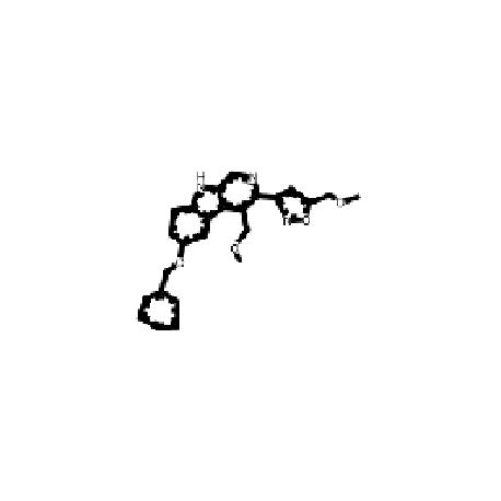 COCc1cc(-c2ncc3[nH]c4ccc(OCc5ccccc5)cc4c3c2COC)no1